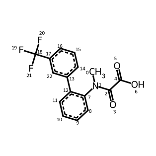 CN(C(=O)C(=O)O)c1ccccc1-c1cccc(C(F)(F)F)c1